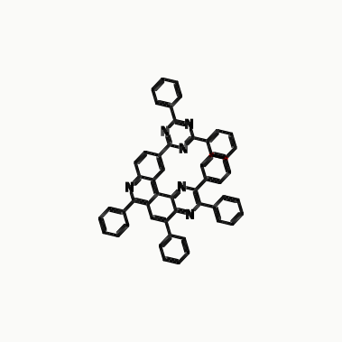 c1ccc(-c2nc(-c3ccccc3)nc(-c3ccc4nc(-c5ccccc5)c5cc(-c6ccccc6)c6nc(-c7ccccc7)c(-c7ccccc7)nc6c5c4c3)n2)cc1